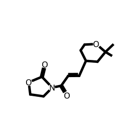 CC1(C)CC(C=CC(=O)N2CCOC2=O)CCO1